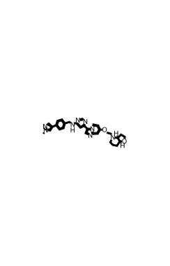 Cn1cc(-c2ccc(CNc3cc(-c4cnc5cc(OCCN6CCC[C@@H]7OCC[C@@H]76)ccn45)ncn3)cc2)cn1